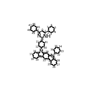 C1=C(c2ccccc2)NC(c2ccc(-n3c4ccccc4c4cc5c6ccccc6n(-c6ccccc6)c5cc43)cc2)N=C1c1ccccc1